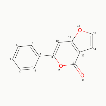 O=c1oc(-c2ccccc2)cc2occc12